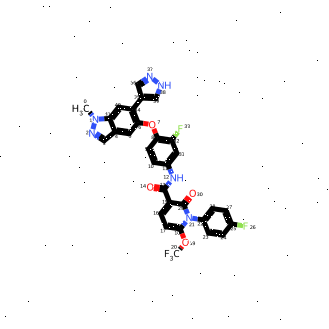 Cn1ncc2cc(Oc3ccc(NC(=O)c4ccc(OC(F)(F)F)n(-c5ccc(F)cc5)c4=O)cc3F)c(-c3cn[nH]c3)cc21